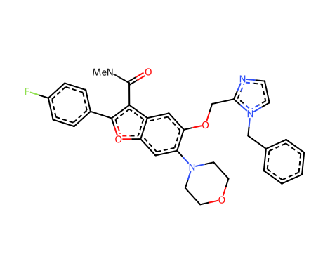 CNC(=O)c1c(-c2ccc(F)cc2)oc2cc(N3CCOCC3)c(OCc3nccn3Cc3ccccc3)cc12